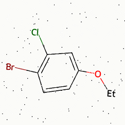 [CH2]COc1ccc(Br)c(Cl)c1